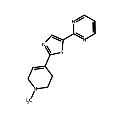 CN1CC=C(c2ncc(-c3ncccn3)s2)CC1